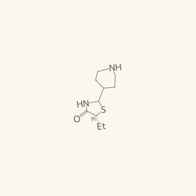 CC[C@H]1SC(C2CCNCC2)NC1=O